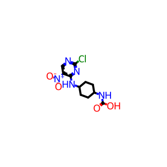 O=C(O)NC1CCC(Nc2nc(Cl)ncc2[N+](=O)[O-])CC1